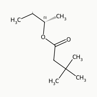 C[CH][C@H](C)OC(=O)CC(C)(C)C